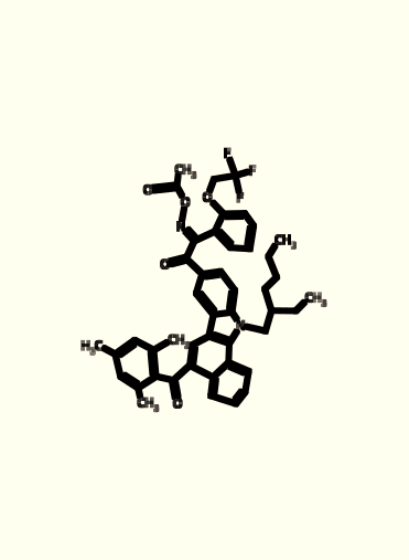 CCCCC(CC)Cn1c2ccc(C(=O)/C(=N/OC(C)=O)c3ccccc3OCC(F)(F)F)cc2c2cc(C(=O)c3c(C)cc(C)cc3C)c3ccccc3c21